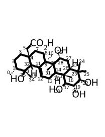 C[C@@H]1CC[C@]2(CC(=O)O)CC[C@]3(C)C(=CC[C@@H]4[C@@]5(C)C(O)[C@@H](O)[C@H](O)C(C)(C)[C@@H]5C[C@@H](O)[C@]43C)[C@@H]2[C@]1(C)O